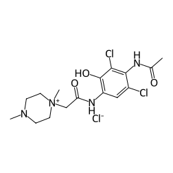 CC(=O)Nc1c(Cl)cc(NC(=O)C[N+]2(C)CCN(C)CC2)c(O)c1Cl.[Cl-]